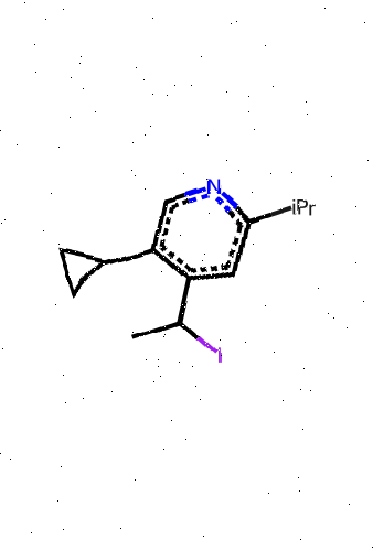 CC(C)c1cc(C(C)I)c(C2CC2)cn1